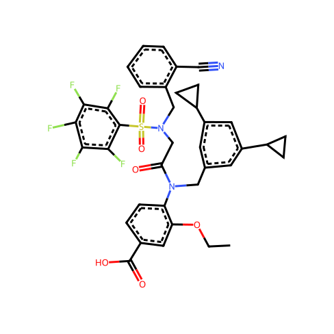 CCOc1cc(C(=O)O)ccc1N(Cc1cc(C2CC2)cc(C2CC2)c1)C(=O)CN(Cc1ccccc1C#N)S(=O)(=O)c1c(F)c(F)c(F)c(F)c1F